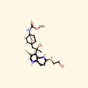 CC(C)(C)OC(=O)NC12CCC(CC(C)(O)c3c(F)cnc4ccc(OCCO)nc34)(CC1)OC2